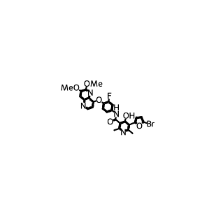 COc1cc2nccc(Oc3ccc(NC(=O)c4c(C)nc(C)c(-c5ccc(Br)o5)c4O)cc3F)c2nc1OC